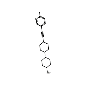 CCC[C@H]1CC[C@H](C2CCC(C#Cc3ccc(F)nc3)CC2)CC1